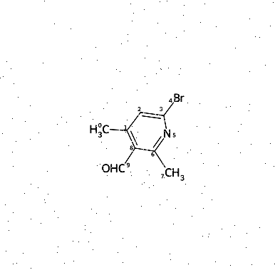 Cc1cc(Br)nc(C)c1C=O